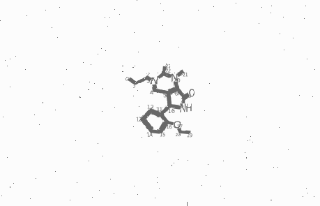 CCCN1CC2=C(C(=O)NC2c2ccccc2OCC)N(C)C1C